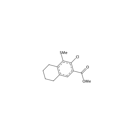 COC(=O)c1cc2c(c(SC)c1Cl)CCCC2